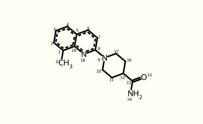 Cc1cccc2ccc(N3CCC(C(N)=O)CC3)nc12